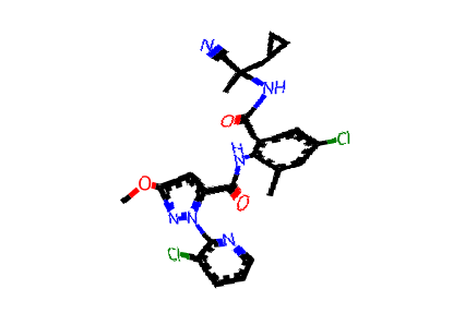 COc1cc(C(=O)Nc2c(C)cc(Cl)cc2C(=O)NC(C)(C#N)C2CC2)n(-c2ncccc2Cl)n1